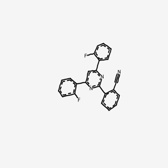 N#Cc1ccccc1-c1nc(-c2ccccc2F)cc(-c2ccccc2F)n1